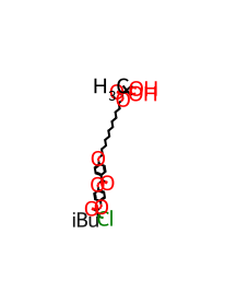 CCC(C)C(Cl)C(=O)Oc1ccc(OC(=O)c2ccc(OCCCCCCCCCCCCOC(=O)C(C)(CO)CO)cc2)cc1